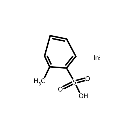 Cc1ccccc1S(=O)(=O)O.[In]